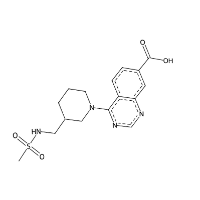 CS(=O)(=O)NCC1CCCN(c2ncnc3cc(C(=O)O)ccc23)C1